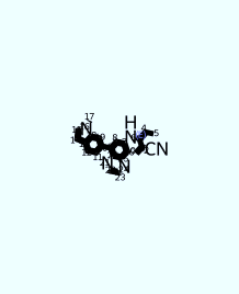 C=C(C#N)/C(=C\C)Nc1cc(-c2ccc3ccn(C)c3c2)c2nccnc2c1